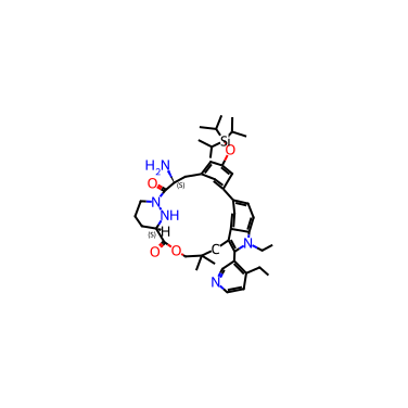 CCc1ccncc1-c1c2c3cc(ccc3n1CC)-c1cc(cc(O[Si](C(C)C)(C(C)C)C(C)C)c1)C[C@H](N)C(=O)N1CCC[C@H](N1)C(=O)OCC(C)(C)C2